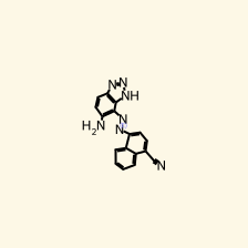 N#Cc1ccc(/N=N/c2c(N)ccc3nn[nH]c23)c2ccccc12